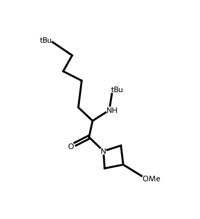 COC1CN(C(=O)C(CCCCC(C)(C)C)NC(C)(C)C)C1